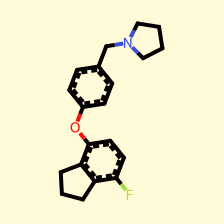 Fc1ccc(Oc2ccc(CN3CCCC3)cc2)c2c1CCC2